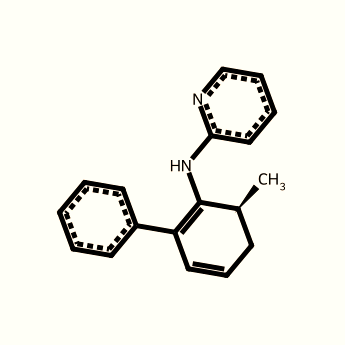 C[C@H]1CC=CC(c2ccccc2)=C1Nc1ccccn1